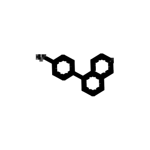 Nc1ccc(-c2cccc3cnccc23)cc1